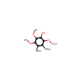 CCCCCCCCCc1c(CCCCCCCCC)c(OCCC)c(OCCC)c(O)c1OC(=O)O